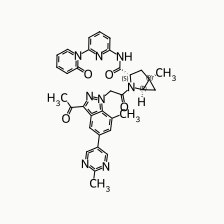 CC(=O)c1nn(CC(=O)N2[C@H](C(=O)Nc3cccc(-n4ccccc4=O)n3)C[C@@]3(C)C[C@@H]23)c2c(C)cc(-c3cnc(C)nc3)cc12